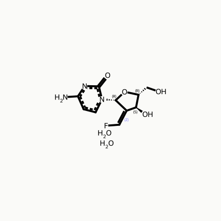 Nc1ccn([C@@H]2O[C@H](CO)[C@@H](O)/C2=C/F)c(=O)n1.O.O